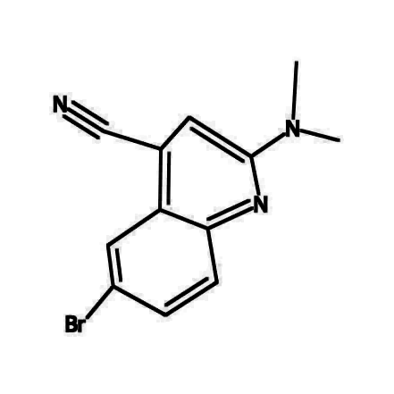 CN(C)c1cc(C#N)c2cc(Br)ccc2n1